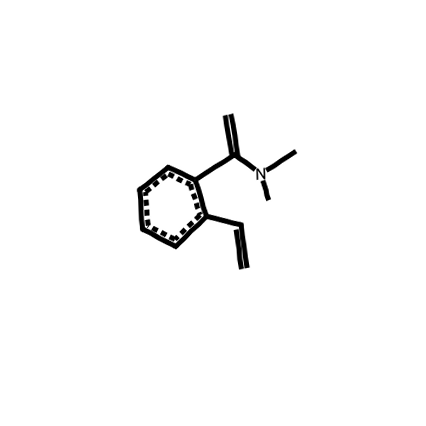 C=Cc1ccccc1C(=C)N(C)C